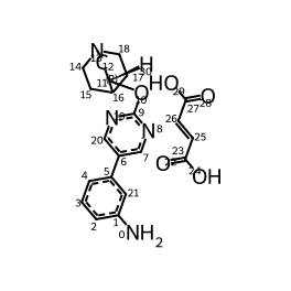 Nc1cccc(-c2cnc(O[C@H]3CN4CCC3CC4)nc2)c1.O=C(O)C=CC(=O)O